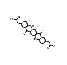 O=C(O)Cc1ccc2[nH]c3cc4c(=O)c5cc(CC(=O)O)ccc5[nH]c4cc3c(=O)c2c1